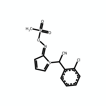 CS(=O)(=O)ON=C1C=CC=S1C(C#N)c1ccccc1Cl